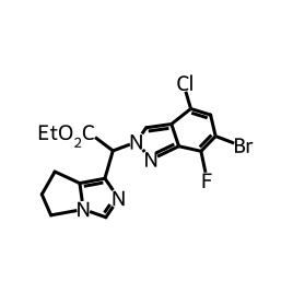 CCOC(=O)C(c1ncn2c1CCC2)n1cc2c(Cl)cc(Br)c(F)c2n1